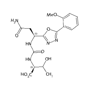 COc1ccccc1-c1nnc([C@H](CC(N)=O)NC(=O)N[C@H](C(=O)O)C(C)O)o1